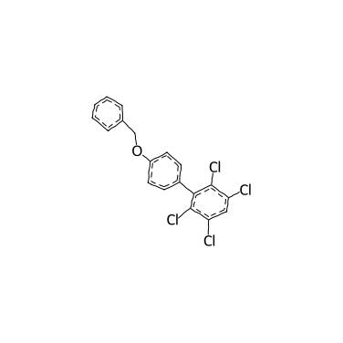 Clc1cc(Cl)c(Cl)c(-c2ccc(OCc3ccccc3)cc2)c1Cl